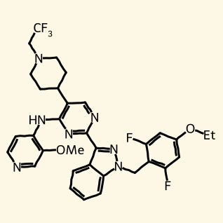 CCOc1cc(F)c(Cn2nc(-c3ncc(C4CCN(CC(F)(F)F)CC4)c(Nc4ccncc4OC)n3)c3ccccc32)c(F)c1